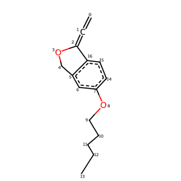 C=C=C1OCc2cc(OCCCCC)ccc21